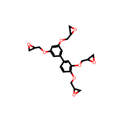 c1c(OCC2CO2)cc(-c2ccc(OCC3CO3)c(OCC3CO3)c2)cc1OCC1CO1